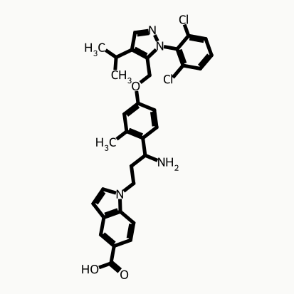 Cc1cc(OCc2c(C(C)C)cnn2-c2c(Cl)cccc2Cl)ccc1C(N)CCn1ccc2cc(C(=O)O)ccc21